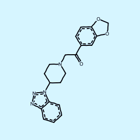 O=C(CN1CCC(n2nnc3ccccc32)CC1)c1ccc2c(c1)OCO2